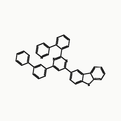 c1ccc(-c2cccc(-c3cc(-c4ccc5sc6ccccc6c5c4)nc(-c4ccccc4-c4cccnc4)n3)c2)cc1